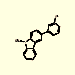 CCC(C)n1c2ccccc2c2cc(-c3cccc(C(C)C)c3)ccc21